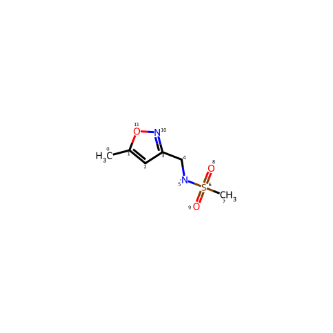 Cc1cc(C[N]S(C)(=O)=O)no1